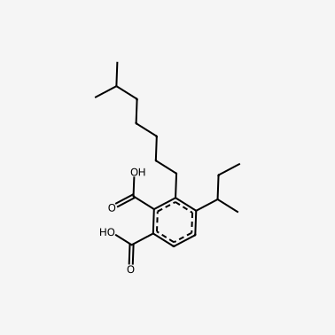 CCC(C)c1ccc(C(=O)O)c(C(=O)O)c1CCCCCC(C)C